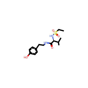 CCS(=O)(=O)N[C@H](C(=O)NCCc1ccc(O)cc1)C(C)C